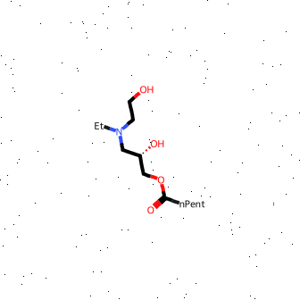 CCCCCC(=O)OC[C@@H](O)CN(CC)CCO